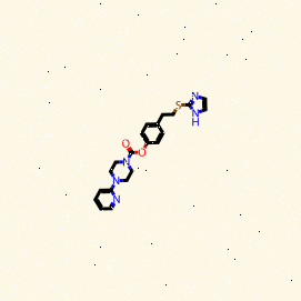 O=C(Oc1ccc(CCSc2ncc[nH]2)cc1)N1CCN(c2ccccn2)CC1